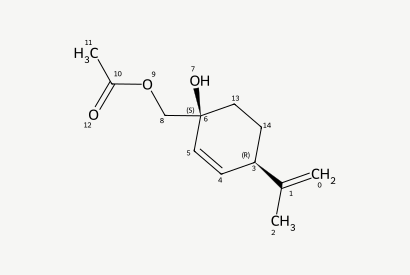 C=C(C)[C@H]1C=C[C@](O)(COC(C)=O)CC1